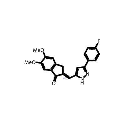 COc1cc2c(cc1OC)C(=O)/C(=C/c1cc(-c3ccc(F)cc3)n[nH]1)C2